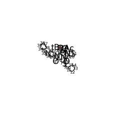 CC(=O)OCCN(C(=O)[C@H](CSCC1CCCCC1)NC(=O)[C@@H]1CSCN1C(=O)OC(C)(C)C)C1CCN(Cc2ccccc2)CC1